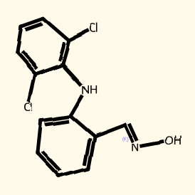 O/N=C/c1ccccc1Nc1c(Cl)cccc1Cl